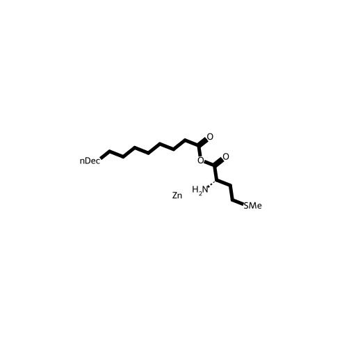 CCCCCCCCCCCCCCCCCC(=O)OC(=O)[C@@H](N)CCSC.[Zn]